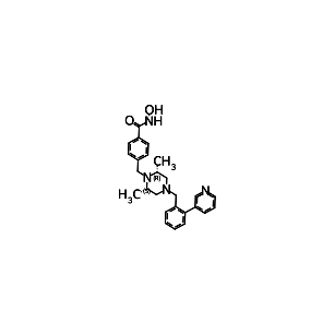 C[C@@H]1CN(Cc2ccccc2-c2cccnc2)C[C@H](C)N1Cc1ccc(C(=O)NO)cc1